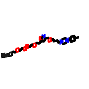 COCCOCCOOCCOCCc1cc(COCCCCN2CCN(c3ccc(C)cc3)CC2)no1